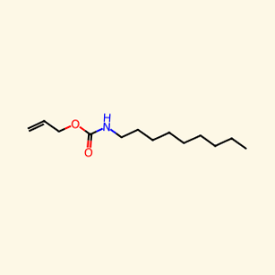 C=CCOC(=O)NCCCCCCCCC